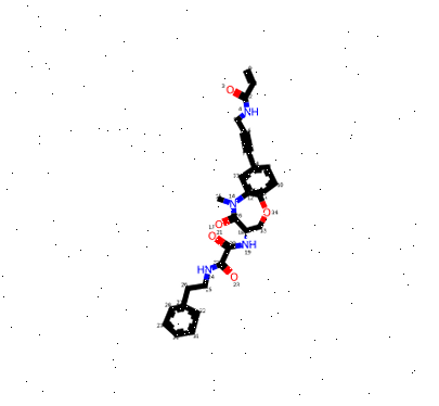 C=CC(=O)NCC#Cc1ccc2c(c1)N(C)C(=O)[C@@H](NC(=O)C(=O)NCCc1ccccc1)CO2